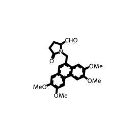 COc1cc2cc(CN3C(=O)CCC3C=O)c3cc(OC)c(OC)cc3c2cc1OC